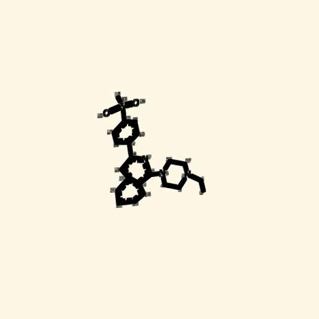 CCN1CCN(c2nc(-c3ccc(S(C)(=O)=O)cc3)cc3ccccc23)CC1